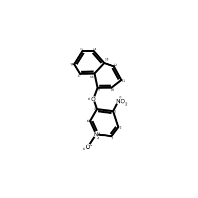 O=[N+]([O-])c1cc[n+]([O-])cc1Oc1cccc2ccccc12